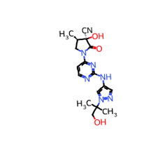 C[C@@H]1CN(c2ccnc(Nc3cnn(C(C)(C)CO)c3)n2)C(=O)[C@@]1(O)C#N